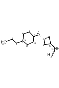 CCCN1CCC(O[C@H]2C[C@H](NC)C2)CC1